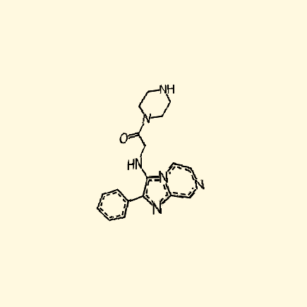 O=C(CNc1c(-c2ccccc2)nc2cnccn12)N1CCNCC1